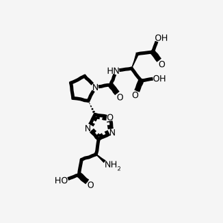 N[C@@H](CC(=O)O)c1noc([C@@H]2CCCN2C(=O)N[C@@H](CC(=O)O)C(=O)O)n1